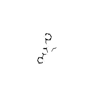 O=CCCC[C@H](NC(=O)c1ccccn1)C(=O)NCc1ccccn1